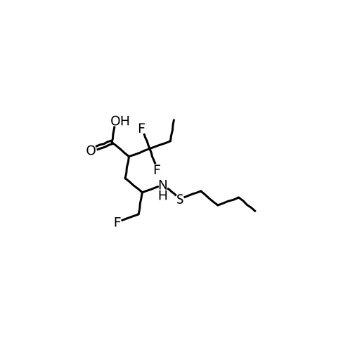 CCCCSNC(CF)CC(C(=O)O)C(F)(F)CC